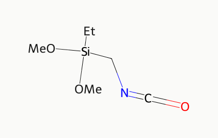 CC[Si](CN=C=O)(OC)OC